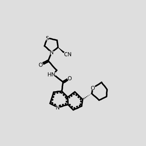 N#C[C@@H]1CSCN1C(=O)CNC(=O)c1ccnc2ccc([C@H]3CCCCO3)cc12